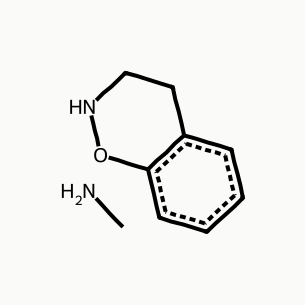 CN.c1ccc2c(c1)CCNO2